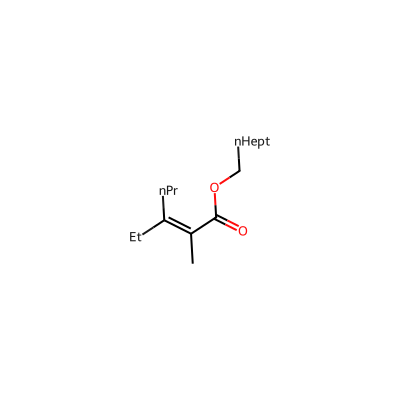 CCCCCCCCOC(=O)C(C)=C(CC)CCC